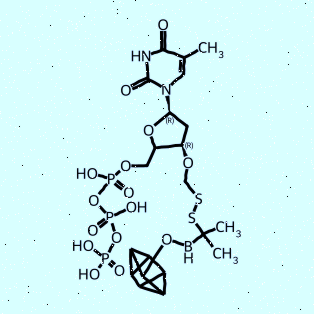 Cc1cn([C@H]2C[C@@H](OCSSC(C)(C)BOC3C4C5C4C4C3C54)C(COP(=O)(O)OP(=O)(O)OP(=O)(O)O)O2)c(=O)[nH]c1=O